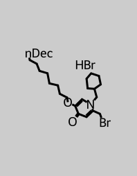 Br.CCCCCCCCCCCCCCCCCCOc1cn(CC2CCCCC2)c(CBr)cc1=O